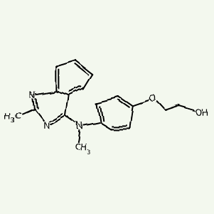 Cc1nc(N(C)c2ccc(OCCO)cc2)c2ccccc2n1